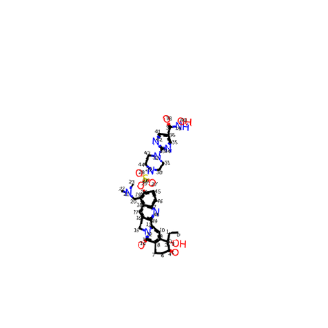 CC[C@@]1(O)C(=O)CCc2c1cc1n(c2=O)Cc2cc3c(CN(C)C)c(OS(=O)(=O)N4CCN(c5ncc(C(=O)NO)cn5)CC4)ccc3nc2-1